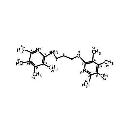 Cc1nc(NCCCOc2nc(C)c(O)c(C)c2C)c(C)c(C)c1O